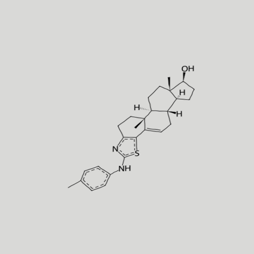 Cc1ccc(Nc2nc3c(s2)C2=CC[C@H]4[C@@H]5CC[C@H](O)[C@@]5(C)CC[C@@H]4[C@@]2(C)CC3)cc1